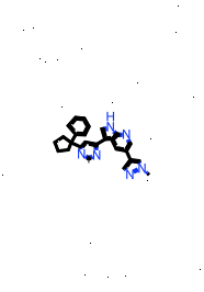 Cn1cc(-c2cnc3[nH]cc(-c4cc(C5(c6ccccc6)CCCC5)n[c]n4)c3c2)cn1